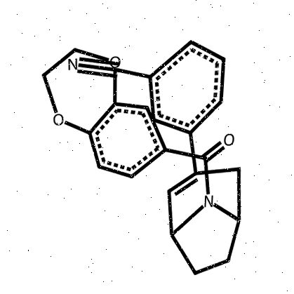 N#Cc1cccc(C2=CC3CCC(C2)N3C(=O)c2ccc3c(c2)OCCO3)c1